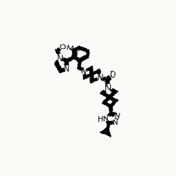 COCn1ccnc1-c1ccccc1CN1CC2(C1)CN(C(=O)N1CC3(CC(c4nnc(C5CC5)[nH]4)C3)C1)C2